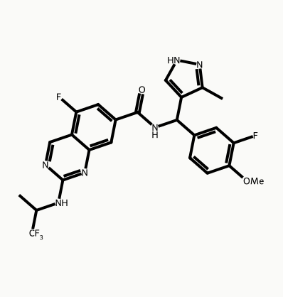 COc1ccc(C(NC(=O)c2cc(F)c3cnc(NC(C)C(F)(F)F)nc3c2)c2c[nH]nc2C)cc1F